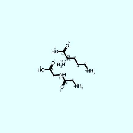 NCC(=O)NCC(=O)O.NCCC[C@H](N)C(=O)O